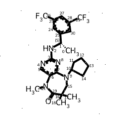 C[C@H](Nc1ncc2c(n1)N(C1CCCC1)CC(C)(C)C(=O)N2C)c1cc(C(F)(F)F)cc(C(F)(F)F)c1